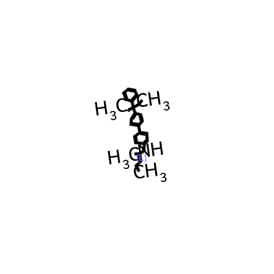 CC/C=C(\C)Nc1ccc(-c2ccc(C(CC)(CC)c3ccccc3)cc2)cc1